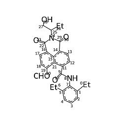 CCc1cccc(CC)c1NC(=O)c1ccc2c3c(ccc(C=O)c13)C(=O)N(C(CC)CO)C2=O